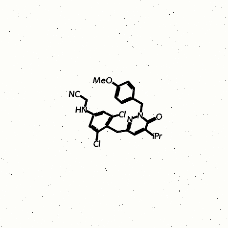 COc1ccc(Cn2nc(Cc3c(Cl)cc(NCC#N)cc3Cl)cc(C(C)C)c2=O)cc1